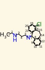 CCNCCC/N=C1/c2ccccc2CCc2c(Cl)cccc21